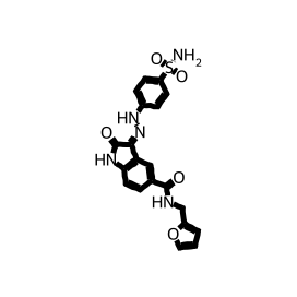 NS(=O)(=O)c1ccc(NN=C2C(=O)Nc3ccc(C(=O)NCc4ccco4)cc32)cc1